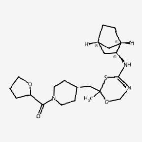 CC1(CC2CCN(C(=O)C3CCCO3)CC2)OCN=C(N[C@H]2C[C@@H]3CC[C@H]2C3)S1